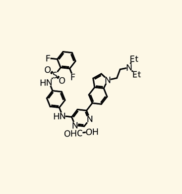 CCN(CC)CCn1ccc2cc(-c3cc(Nc4ccc(NS(=O)(=O)c5c(F)cccc5F)cc4)ncn3)ccc21.O=CO